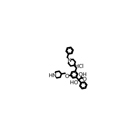 Cl.O=C(O)C(O)(c1ccccc1)c1cc(CC2CCN(Cc3ccccc3)CC2)cc(OCC2CCNCC2)c1